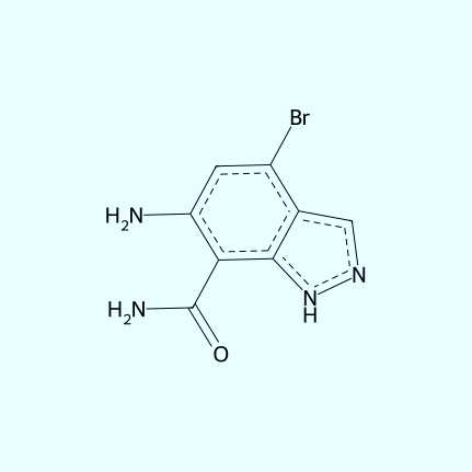 NC(=O)c1c(N)cc(Br)c2cn[nH]c12